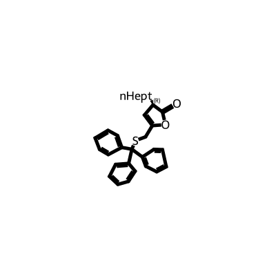 CCCCCCC[C@@H]1C=C(CSC(c2ccccc2)(c2ccccc2)c2ccccc2)OC1=O